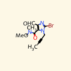 CC#CCn1c(Br)nc(C=O)c1C(=O)N(C)OC